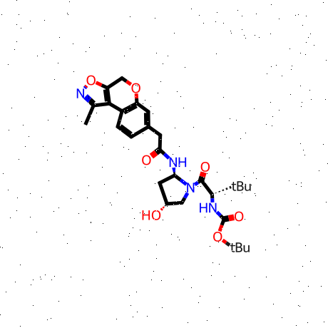 Cc1noc2c1-c1ccc(CC(=O)N[C@@H]3C[C@@H](O)CN3C(=O)[C@@H](NC(=O)OC(C)(C)C)C(C)(C)C)cc1OC2